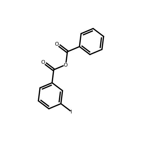 O=C(OC(=O)c1cccc(I)c1)c1ccccc1